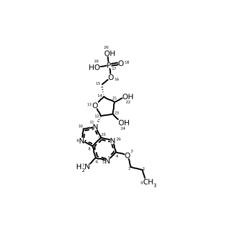 CCCOc1nc(N)c2ncn([C@@H]3O[C@H](COP(=O)(O)O)C(O)C3O)c2n1